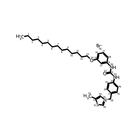 CCCCCCCCCCCCCCOc1cccc(NC(=O)Nc2ccc(C[n+]3csc(C)c3)cc2)c1.[Br-]